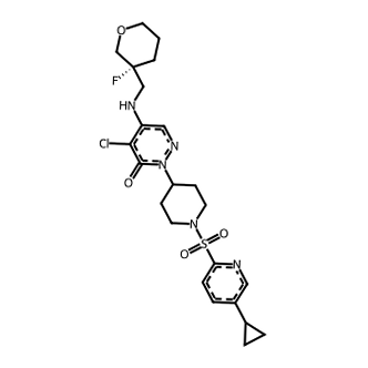 O=c1c(Cl)c(NC[C@]2(F)CCCOC2)cnn1C1CCN(S(=O)(=O)c2ccc(C3CC3)cn2)CC1